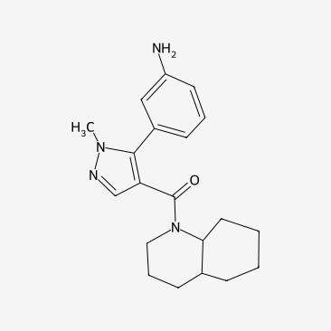 Cn1ncc(C(=O)N2CCCC3CCCCC32)c1-c1cccc(N)c1